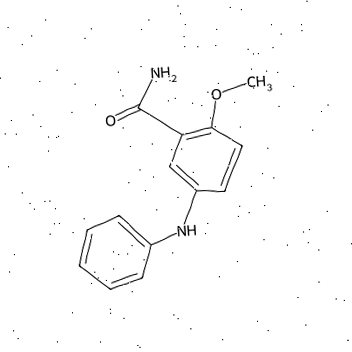 COc1ccc(Nc2ccccc2)cc1C(N)=O